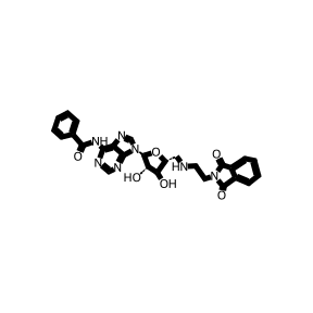 O=C(Nc1ncnc2c1ncn2[C@@H]1O[C@H](CNCCN2C(=O)c3ccccc3C2=O)C(O)[C@@H]1O)c1ccccc1